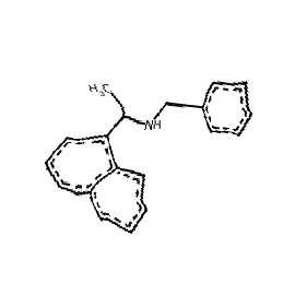 CC(NCc1ccccc1)c1cccc2ccccc12